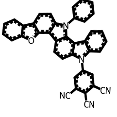 N#Cc1cc(-n2c3ccccc3c3c2ccc2c4c5oc6ccccc6c5ccc4n(-c4ccccc4)c23)cc(C#N)c1C#N